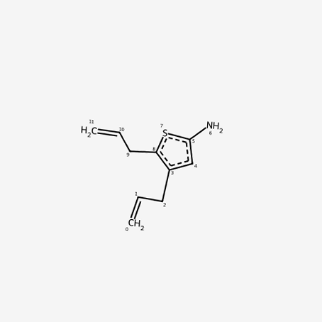 C=CCc1cc(N)sc1CC=C